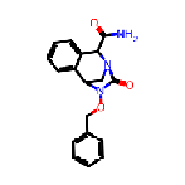 NC(=O)C1c2ccccc2C2CN1C(=O)N2OCc1ccccc1